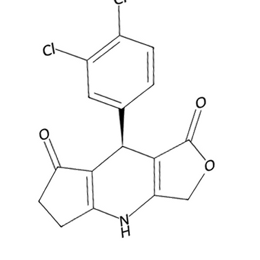 O=C1CCC2=C1[C@@H](c1ccc(Cl)c(Cl)c1)C1=C(COC1=O)N2